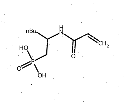 C=CC(=O)NC(CCCC)CP(=O)(O)O